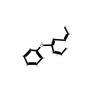 C\C=C/C=C(\C=C/C)Oc1ccccc1